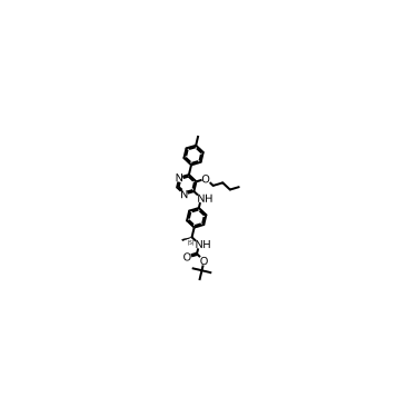 CCCCOc1c(Nc2ccc([C@H](C)NC(=O)OC(C)(C)C)cc2)ncnc1-c1ccc(C)cc1